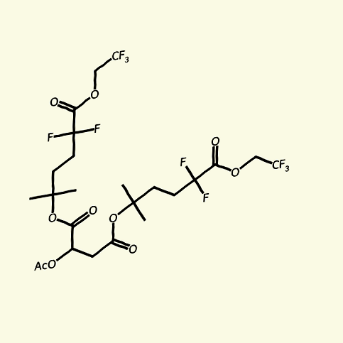 CC(=O)OC(CC(=O)OC(C)(C)CCC(F)(F)C(=O)OCC(F)(F)F)C(=O)OC(C)(C)CCC(F)(F)C(=O)OCC(F)(F)F